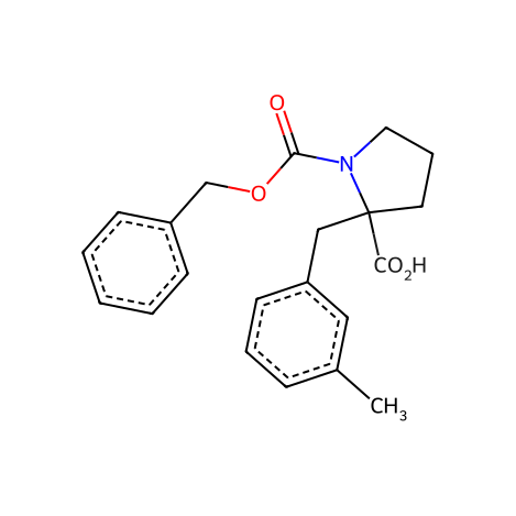 Cc1cccc(CC2(C(=O)O)CCCN2C(=O)OCc2ccccc2)c1